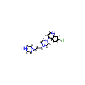 Clc1ccc2c(N3CCN(CCCN4CCNCC4)CC3)ccnc2c1